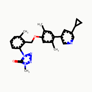 Cc1cc(-c2cncc(C3CC3)c2)c(C)cc1OCc1c(C)cccc1-n1nnn(C)c1=O